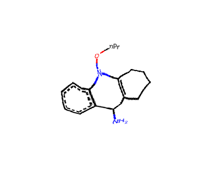 CCCON1C2=C(CCCC2)C(N)c2ccccc21